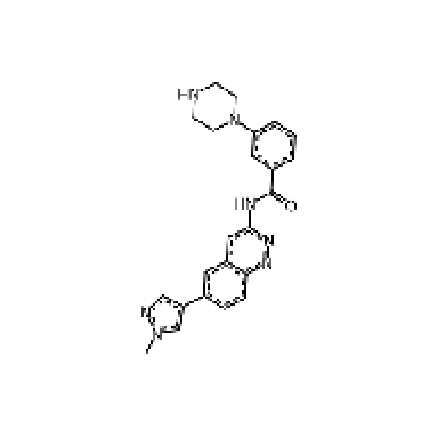 Cn1cc(-c2ccc3nnc(NC(=O)c4cccc(N5CCNCC5)c4)cc3c2)cn1